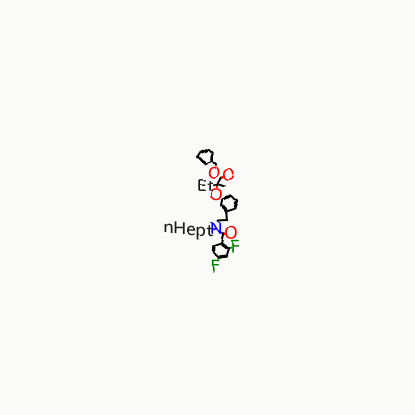 CCCCCCCN(CCc1cccc(OC(C)(CC)C(=O)OCc2ccccc2)c1)C(=O)c1ccc(F)cc1F